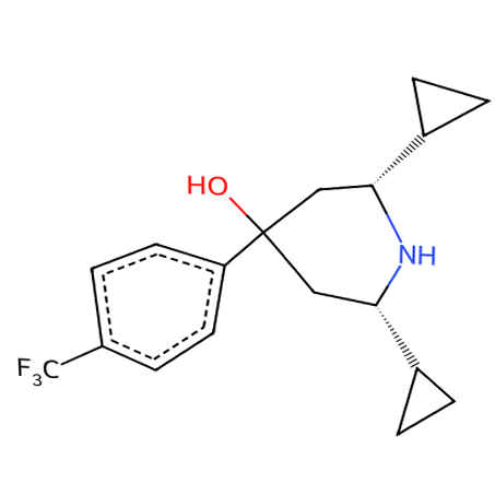 OC1(c2ccc(C(F)(F)F)cc2)C[C@@H](C2CC2)N[C@@H](C2CC2)C1